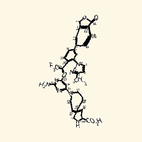 Cc1ccn(-c2cc(-c3ccc4c(c3)COC4=O)ccc2C(Oc2cc(N3CCC4(CC3)CNC(C(=O)O)C4)nc(N)n2)C(F)(F)F)n1